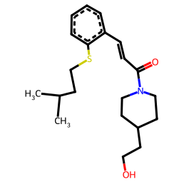 CC(C)CCSc1ccccc1C=CC(=O)N1CCC(CCO)CC1